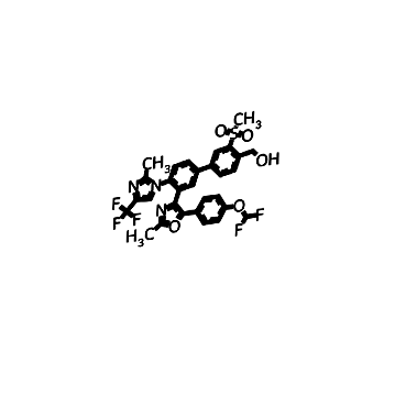 Cc1nc(-c2cc(-c3ccc(CO)c(S(C)(=O)=O)c3)ccc2-n2cc(C(F)(F)F)nc2C)c(-c2ccc(OC(F)F)cc2)o1